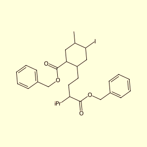 CC(C)C(CCC1CC(I)C(C)CC1C(=O)OCc1ccccc1)C(=O)OCc1ccccc1